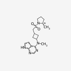 C[C@@H]1CCCN1S(=O)(=O)CC1CC(N(C)c2ncnc3[nH]ccc23)C1